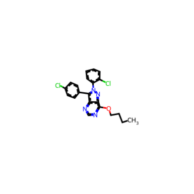 CCCCOc1ncnc2c(-c3ccc(Cl)cc3)n(-c3ccccc3Cl)nc12